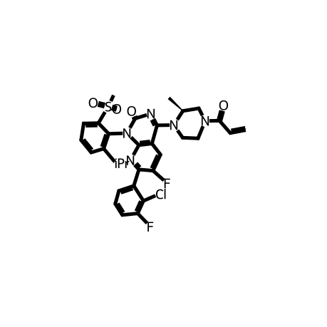 C=CC(=O)N1CCN(c2nc(=O)n(-c3c(C(C)C)cccc3S(C)(=O)=O)c3nc(-c4cccc(F)c4Cl)c(F)cc23)[C@@H](C)C1